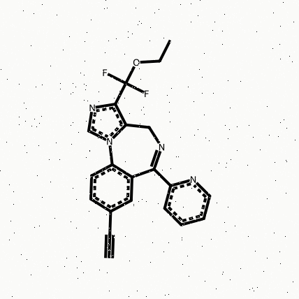 C#Cc1ccc2c(c1)C(c1ccccn1)=NCc1c(C(F)(F)OCC)ncn1-2